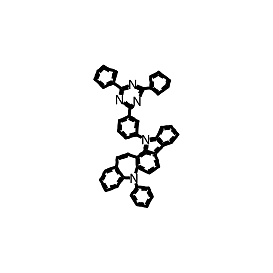 C1=Cc2c(ccc3c4ccccc4n(-c4cccc(-c5nc(-c6ccccc6)nc(-c6ccccc6)n5)c4)c23)N(c2ccccc2)c2ccccc21